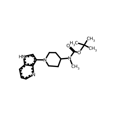 CN(C(=O)OC(C)(C)C)C1CCN(c2c[nH]c3cccnc23)CC1